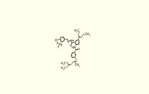 CCCN(CCC)c1ccc(NC(=O)c2cccc(CN(C)CCN(CC)CC)c2)c(C(=O)NN=Cc2ccc(Cl)c(C(F)(F)F)c2)c1